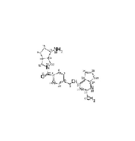 Cc1nc(OCc2ccc(C(=O)N3CC4CCC(N)C4C3)nc2)c2ccsc2n1